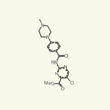 COC(=O)c1nc(NC(=O)c2ccc(N3CCN(C)CC3)cc2)ncc1Cl